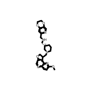 COc1ccc2ncc3c(c2n1)C(CN1CCC[C@@H](CNCc2cc4c(cn2)OCCO4)C1)CO3